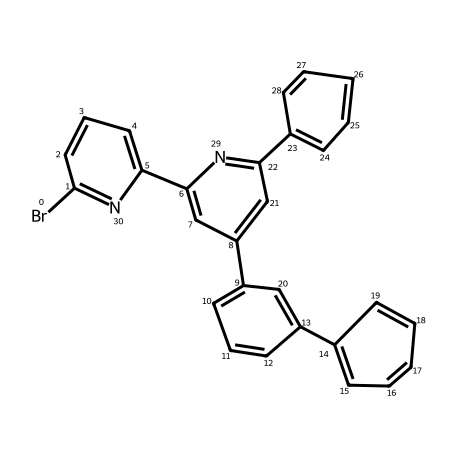 Brc1cccc(-c2cc(-c3cccc(-c4ccccc4)c3)cc(-c3ccccc3)n2)n1